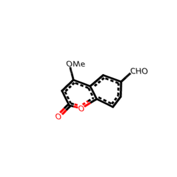 COc1cc(=O)oc2ccc(C=O)cc12